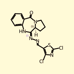 O=C1c2ccccc2N/C(=N/N=Cc2sc(Cl)nc2Cl)[C@@H]2CCCN12